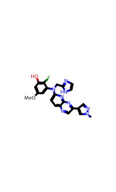 COc1cc(O)c(F)c(N(Cc2ncc[nH]2)c2ccc3ncc(-c4cnn(C)c4)nc3n2)c1